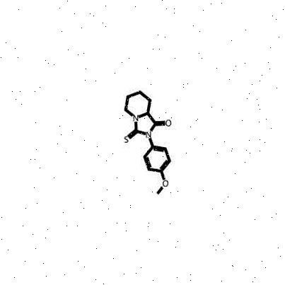 COc1ccc(N2C(=O)C3CCCCN3C2=S)cc1